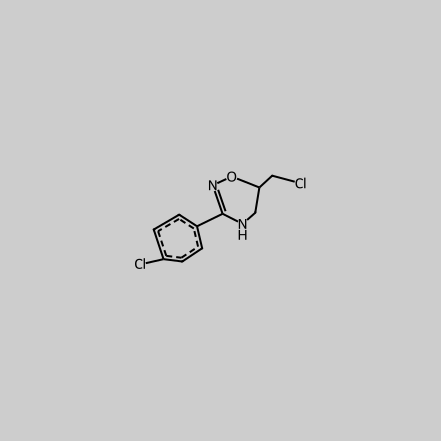 ClCC1CNC(c2ccc(Cl)cc2)=NO1